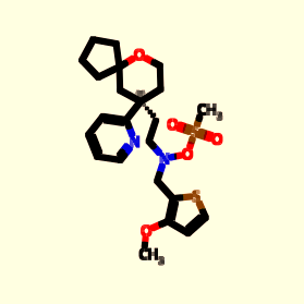 COc1ccsc1CN(CC[C@@]1(c2ccccn2)CCOC2(CCCC2)C1)OS(C)(=O)=O